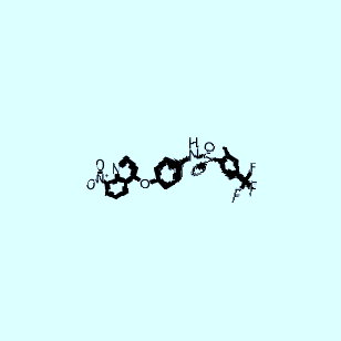 Cc1cc(C(F)(F)F)ccc1S(=O)(=O)Nc1ccc(Oc2ccnc3c([N+](=O)[O-])cccc23)cc1